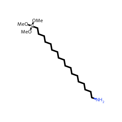 CO[Si](CCCCCCCCCCCCCCCCCCN)(OC)OC